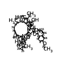 CCOc1ccc2c(O[C@]3(C)C[C@H]4C(=O)N[C@]5(C(=O)NS(=O)(=O)C6(C)CC6)C[C@H]5/C=C\CC[C@@H](C)C[C@@H](CC)[C@H](N(C(=O)O)C(C)CC)C(=O)N4C3(F)F)nccc2c1